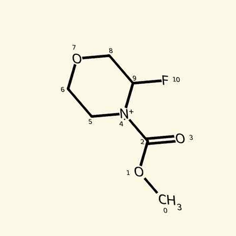 COC(=O)[N+]1CCOCC1F